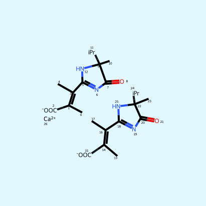 CC(C(=O)[O-])=C(C)C1=NC(=O)C(C)(C(C)C)N1.CC(C(=O)[O-])=C(C)C1=NC(=O)C(C)(C(C)C)N1.[Ca+2]